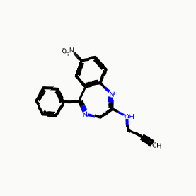 C#CCNC1=Nc2ccc([N+](=O)[O-])cc2C(c2ccccc2)=NC1